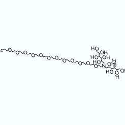 CC(=O)CCOCCOCCOCCOCCOCCOCCOCCOCCOCCOCCOCCOCCN(C[C@H](O)[C@@H](O)[C@H](O)[C@H](O)CO)C[C@H](O)[C@@H](O)[C@H](O)[C@H](O)CO